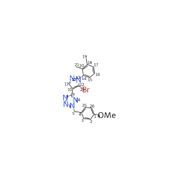 COc1ccc(Cn2nnc(-c3cnn(-c4cccc(C)c4C)c3Br)n2)cc1